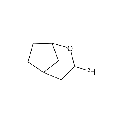 [2H]C1CC2CCC(C2)O1